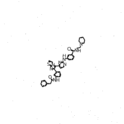 O=C(Cc1ccccc1)Nc1cccc(-c2nc3sccn3c2-c2ccnc(Nc3cccc(C(=O)NCCN4CCCCC4)c3)n2)c1